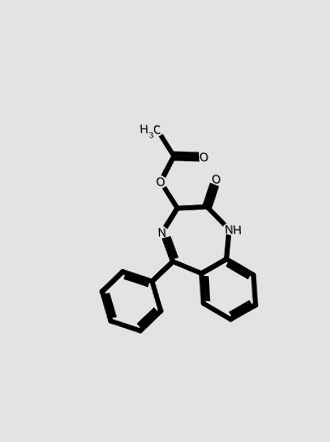 CC(=O)OC1N=C(c2ccccc2)c2ccccc2NC1=O